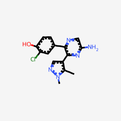 Cc1c(-c2nc(N)cnc2-c2ccc(O)c(Cl)c2)cnn1C